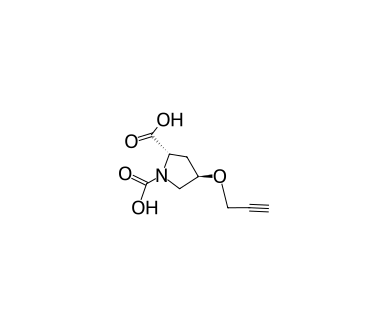 C#CCO[C@@H]1C[C@@H](C(=O)O)N(C(=O)O)C1